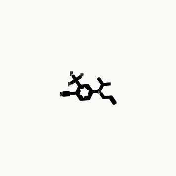 C=CCN(c1ccc(C#N)c(C(F)(F)F)c1)C(C)C